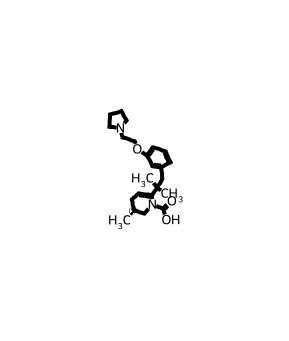 C[C@H]1CC=C(C(C)(C)Cc2cccc(OCCN3CCCC3)c2)N(C(=O)O)C1